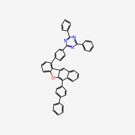 c1ccc(-c2ccc(-c3c4ccccc4cc4c3oc3cccc(-c5ccc(-c6nc(-c7ccccc7)nc(-c7ccccc7)n6)cc5)c34)cc2)cc1